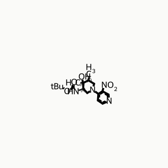 C[C@H]1CN(c2ccncc2[N+](=O)[O-])C[C@@H](NC(=O)OC(C)(C)C)[C@]1(C)O